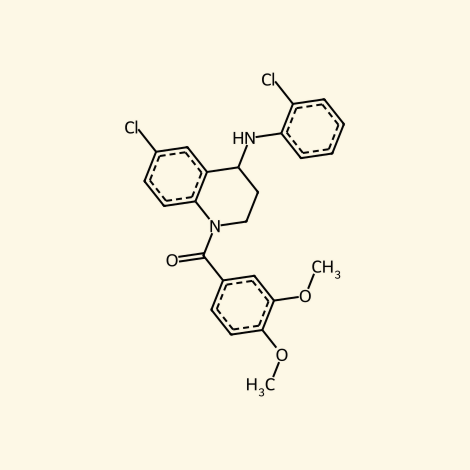 COc1ccc(C(=O)N2CCC(Nc3ccccc3Cl)c3cc(Cl)ccc32)cc1OC